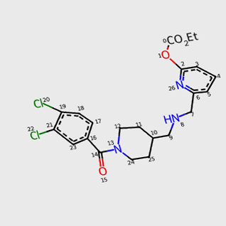 CCOC(=O)Oc1cccc(CNCC2CCN(C(=O)c3ccc(Cl)c(Cl)c3)CC2)n1